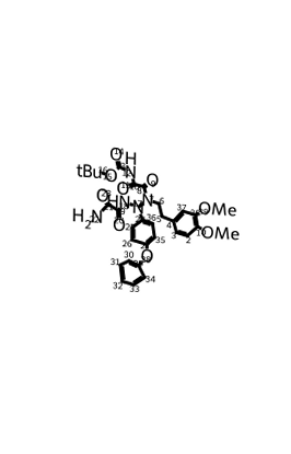 COc1ccc(CCN(C(=O)C(=O)NC(=O)OC(C)(C)C)N(NC(=O)C(N)=O)c2ccc(Oc3ccccc3)cc2)cc1OC